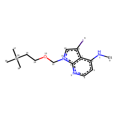 CCNc1ccnc2c1c(I)cn2COCC[Si](C)(C)C